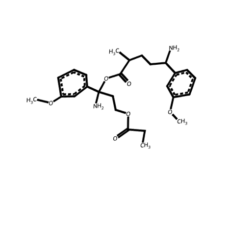 CCC(=O)OCCC(N)(OC(=O)C(C)CCC(N)c1cccc(OC)c1)c1cccc(OC)c1